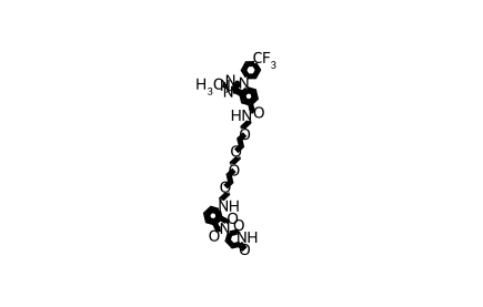 Cn1nc2c3cc(C(=O)NCCOCCOCCOCCOCCNc4cccc5c4C(=O)N(C4CCC(=O)NC4=O)C5=O)ccc3n(C3CCC(C(F)(F)F)CC3)c2n1